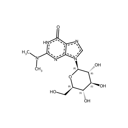 CN(C)c1nc2c(ncn2[C@@H]2O[C@H](CO)[C@@H](O)[C@H](O)[C@H]2O)c(=O)[nH]1